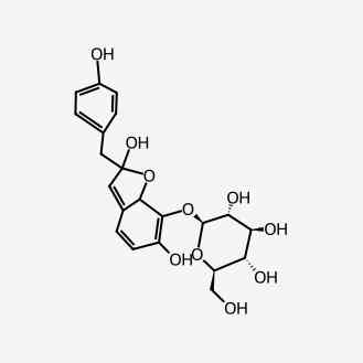 OC[C@H]1O[C@@H](OC2=C(O)C=CC3=CC(O)(Cc4ccc(O)cc4)OC32)[C@H](O)[C@@H](O)[C@@H]1O